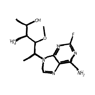 COC(C(O)C(C)O)C(C)n1cnc2c(N)nc(F)nc21